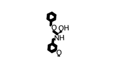 COc1cccc(CN[C@H](CO)COCc2ccccc2)c1